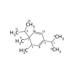 CC(C)C1=CC(C)C(C)(C(C)C)C=C1